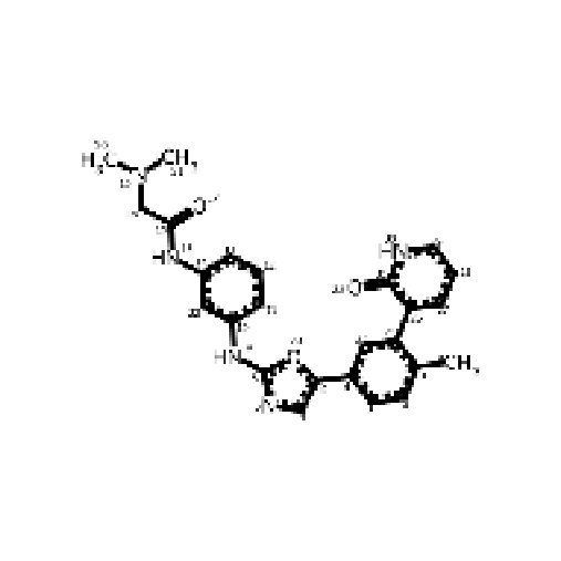 Cc1ccc(-c2cnc(Nc3cccc(NC(=O)CN(C)C)c3)o2)cc1-c1ccc[nH]c1=O